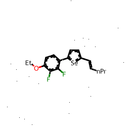 CCCC=Cc1ccc(-c2ccc(OCC)c(F)c2F)[se]1